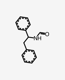 O=CNC(Cc1ccccc1)c1ccccc1